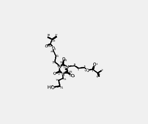 C=C(C)C(=O)OCCCn1c(=O)n(CCCO)c(=O)n(CCCOC(=O)C(=C)C)c1=O